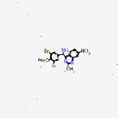 COc1c(Br)cc(C(N)c2nc(C)nc3cc([N+](=O)[O-])ccc23)cc1Br